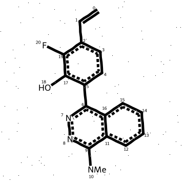 C=Cc1ccc(-c2nnc(NC)c3ccccc23)c(O)c1F